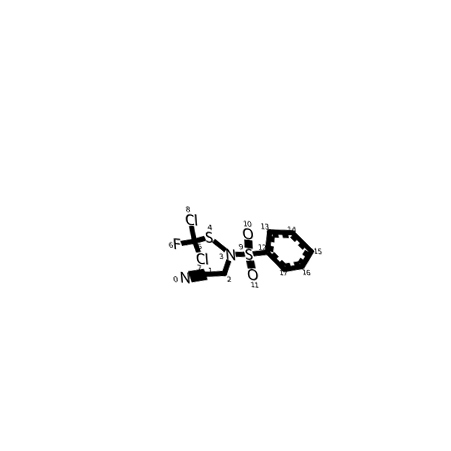 N#CCN(SC(F)(Cl)Cl)S(=O)(=O)c1ccccc1